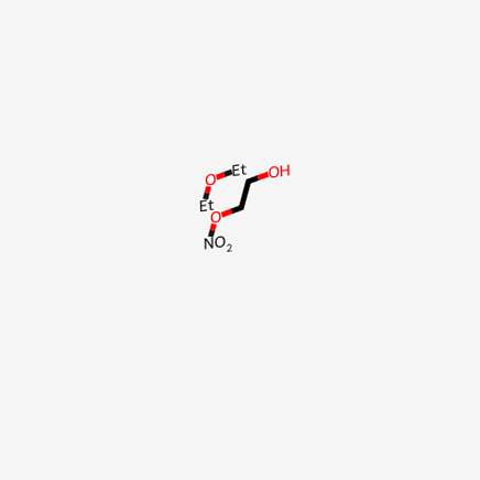 CCOCC.O=[N+]([O-])OCCO